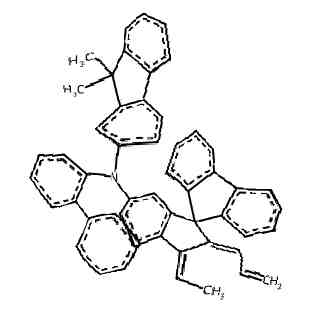 C=C/C=C1\C(=C/C)c2ccc(N(c3ccc4c(c3)C(C)(C)c3ccccc3-4)c3ccccc3-c3ccccc3)cc2C12c1ccccc1-c1ccccc12